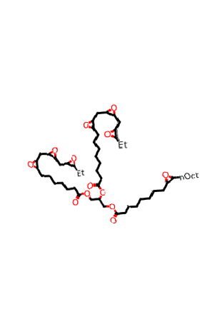 CCCCCCCCC1OC1CCCCCCCC(=O)OCC(COC(=O)CCCCCCC1OC1CC1OC1CC1OC1CC)OC(=O)CCCCCCCC1OC1CC1OC1CC1OC1CC